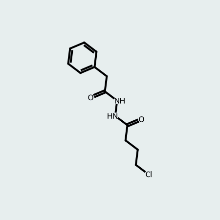 O=C(CCCCl)NNC(=O)Cc1ccccc1